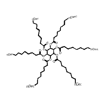 CCCCCCCCCCCCCCCCCC(=O)OC1C(OC(=O)CCCCCCCCCCCCCCCCC)C(OC(=O)CCCCCCCCCCCCCCCCC)C(OC(=O)CCCCCCCCCCCCCCCCC)C(OC(=O)CCCCCCCCCCCCCCCCC)C1OC(=O)CCCCCCCCCCCCCCCCC